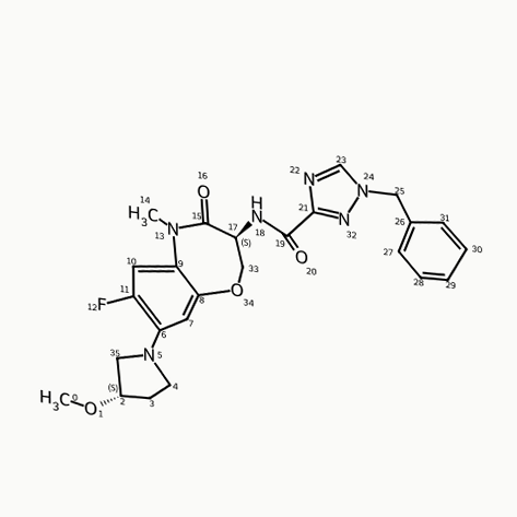 CO[C@H]1CCN(c2cc3c(cc2F)N(C)C(=O)[C@@H](NC(=O)c2ncn(Cc4ccccc4)n2)CO3)C1